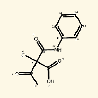 CC(=O)C(Cl)(C(=O)O)C(=O)Nc1ccccc1